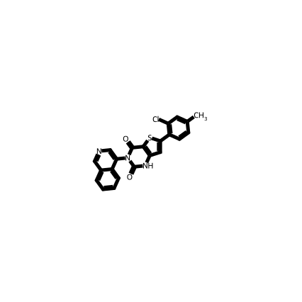 Cc1ccc(-c2cc3[nH]c(=O)n(-c4cncc5ccccc45)c(=O)c3s2)c(Cl)c1